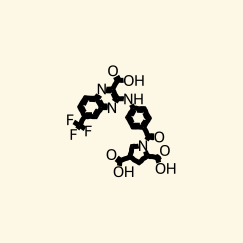 O=C(O)c1nc2ccc(C(F)(F)F)cc2nc1Nc1ccc(C(=O)N2CC(C(=O)O)CC2C(=O)O)cc1